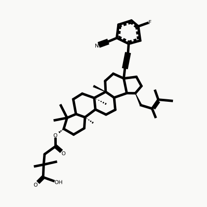 CC(C)=C(C)C[C@@H]1CCC2(C#Cc3cc(F)ccc3C#N)CC[C@]3(C)C(CCC4[C@@]5(C)CC[C@H](OC(=O)CC(C)(C)C(=O)O)C(C)(C)C5CC[C@]43C)C12